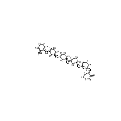 Fc1ccccc1Oc1cccc(Oc2cccc(Oc3cccc(Oc4cccc(Oc5ccccc5F)c4)c3)c2)c1